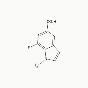 Cn1ccc2cc(C(=O)O)cc(F)c21